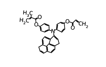 C=CC(=O)Oc1ccc(N(C2=CCc3ccc4c5c(ccc2c35)CC=C4)c2ccc(OC(=O)C(=C)C)cc2)cc1